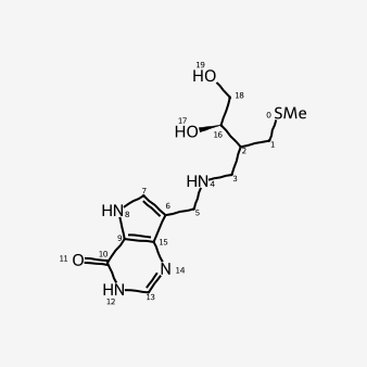 CSCC(CNCc1c[nH]c2c(=O)[nH]cnc12)[C@@H](O)CO